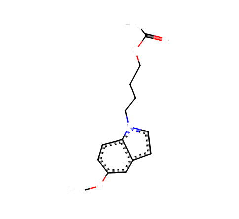 COc1ccc2c(ccn2CCCCOC(C)=O)c1